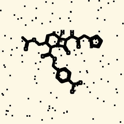 CC(=O)OCC1=CS[C@H]2C(NC(=O)Cc3cccs3)C(=O)N2C1C(=O)OCc1ccc([N+](=O)[O-])cc1